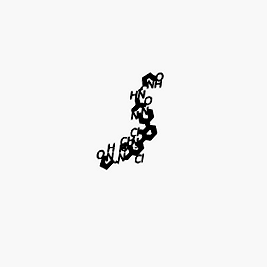 COc1nc(-c2cccc(-c3ccn4c(=O)c(CNC[C@@H]5CCC(=O)N5)cnc4c3)c2Cl)cc(Cl)c1CNC[C@@H]1CCC(=O)N1